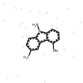 Cc1ccc2c(c1)c1c(C(C)(C)C)cccc1n2N